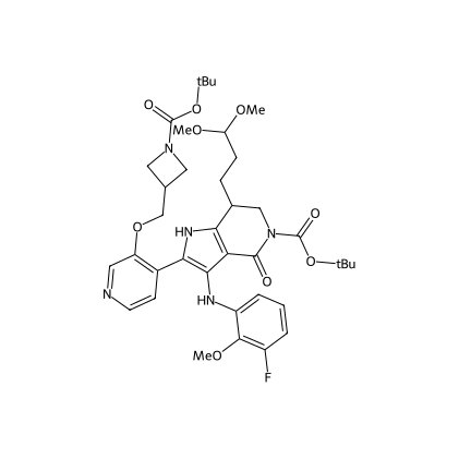 COc1c(F)cccc1Nc1c(-c2ccncc2OCC2CN(C(=O)OC(C)(C)C)C2)[nH]c2c1C(=O)N(C(=O)OC(C)(C)C)CC2CCC(OC)OC